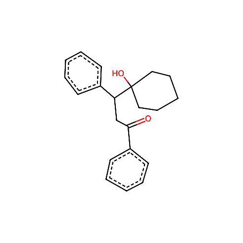 O=C(CC(c1ccccc1)C1(O)CCCCC1)c1ccccc1